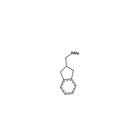 CNCC1Cc2ccccc2C1